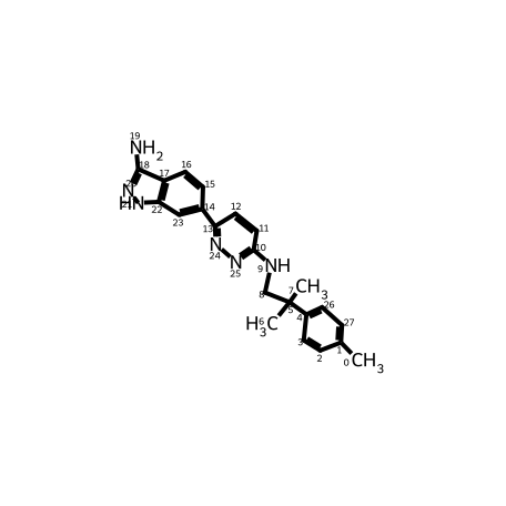 Cc1ccc(C(C)(C)CNc2ccc(-c3ccc4c(N)n[nH]c4c3)nn2)cc1